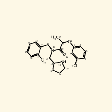 CC(Oc1cccc(Cl)c1)C(=O)N(Cc1ccccc1Cl)CC1CCCN1